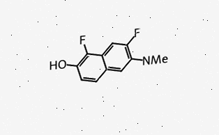 CNc1cc2ccc(O)c(F)c2cc1F